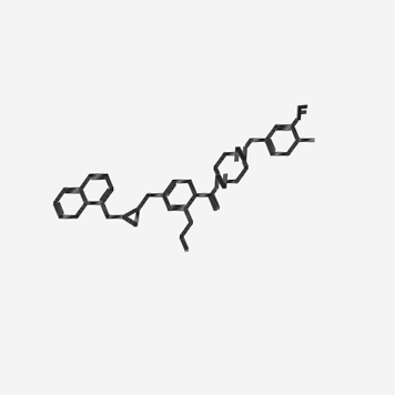 C=C(C1CC=C(CC2CC2CC2=CC=CC3=CC=CCC32)C=C1CCC)N1CCN(CC2=CCC(C)C(F)=C2)CC1